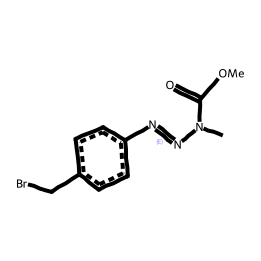 COC(=O)N(C)/N=N/c1ccc(CBr)cc1